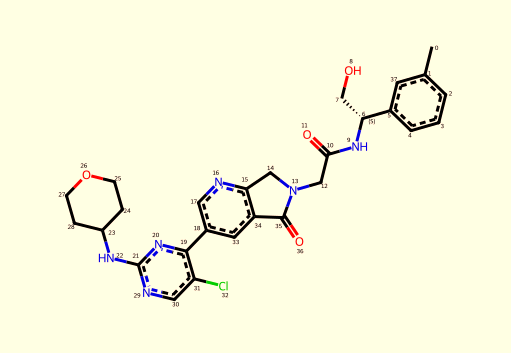 Cc1cccc([C@@H](CO)NC(=O)CN2Cc3ncc(-c4nc(NC5CCOCC5)ncc4Cl)cc3C2=O)c1